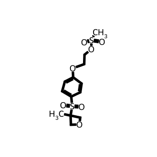 CC1(S(=O)(=O)c2ccc(OCCOS(C)(=O)=O)cc2)COC1